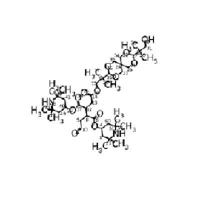 CC1(C)CC(OC(=O)C(CC=O)C(CC(=O)OCC(C)(C)C2OCC3(COC(C(C)(C)CO)OC3)CO2)C(=O)OC2CC(C)(C)NC(C)(C)C2)CC(C)(C)N1